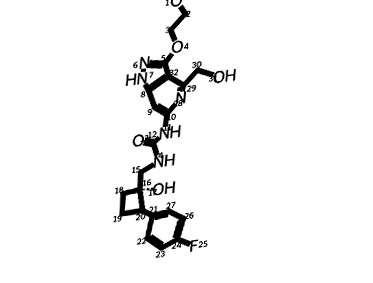 COCCOc1n[nH]c2cc(NC(=O)NC[C@]3(O)CCC3c3ccc(F)cc3)nc(CO)c12